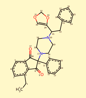 CCc1cccc2c1C(=O)C(c1ccccc1)(N1CCN(C(Cc3ccccc3)C3=COCO3)CC1)C2=O